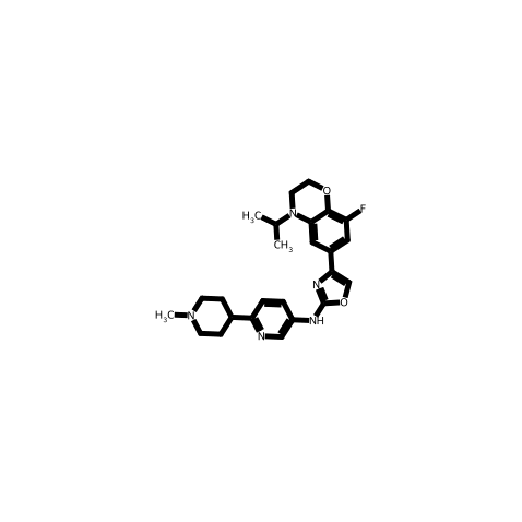 CC(C)N1CCOc2c(F)cc(-c3coc(Nc4ccc(C5CCN(C)CC5)nc4)n3)cc21